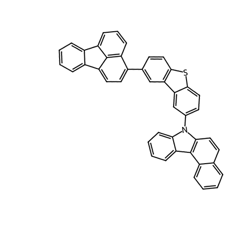 c1ccc2c(c1)-c1cccc3c(-c4ccc5sc6ccc(-n7c8ccccc8c8c9ccccc9ccc87)cc6c5c4)ccc-2c13